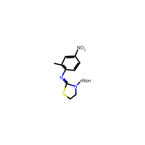 CCCCCCCCCN1CCSC1=Nc1ccc([N+](=O)[O-])cc1C